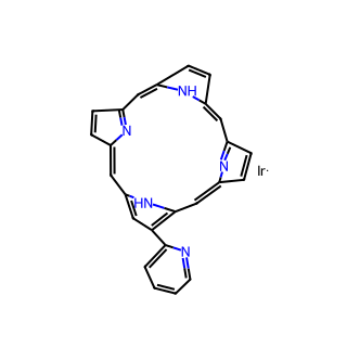 C1=Cc2cc3cc(-c4ccccn4)c(cc4nc(cc5ccc(cc1n2)[nH]5)C=C4)[nH]3.[Ir]